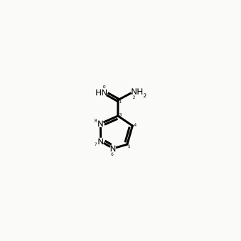 N=C(N)c1ccnnn1